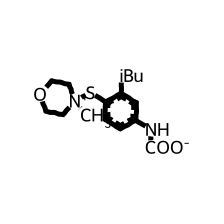 CCC(C)c1cc(NC(=O)[O-])ccc1S[N+]1(C)CCOCC1